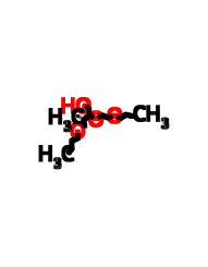 CCCCOCCOC(CO)[C@@H](C)COCCCC